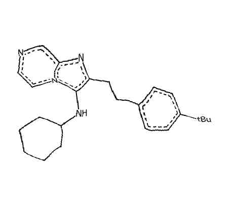 CC(C)(C)c1ccc(CCc2nc3cnccn3c2NC2CCCCC2)cc1